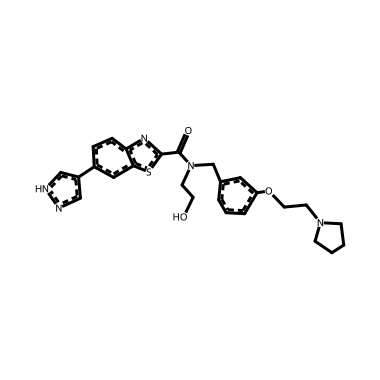 O=C(c1nc2ccc(-c3cn[nH]c3)cc2s1)N(CCO)Cc1cccc(OCCN2CCCC2)c1